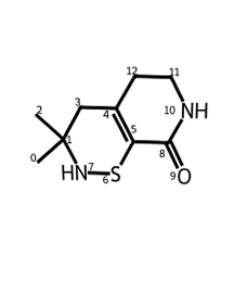 CC1(C)CC2=C(SN1)C(=O)NCC2